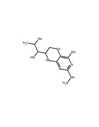 CC(O)C(O)C1CNc2c(O)nc(NN)nc2N1